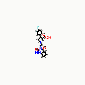 O=C(O)C1CN(CCn2c(=O)[nH]c3ccccc3c2=O)CCC1c1ccc(F)c(F)c1